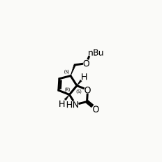 CCCCOC[C@@H]1C=C[C@H]2NC(=O)O[C@@H]12